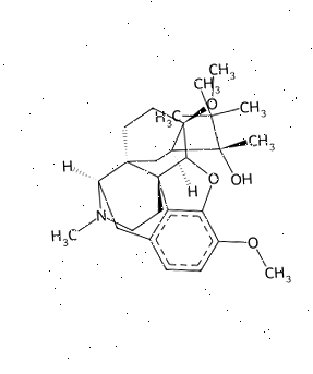 COc1ccc2c3c1OC1[C@@]4(OC)CC[C@@]5(C[C@@H]4[C@@](C)(O)C(C)(C)C)[C@@H](C2)N(C)CC[C@]315